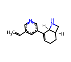 C=Cc1cncc(C2=CCC[C@@H]3CN[C@H]23)c1